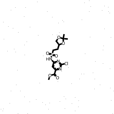 COC(=O)c1cc(NS(=O)(=O)CCC2COC(C)(C)O2)nc(Cl)n1